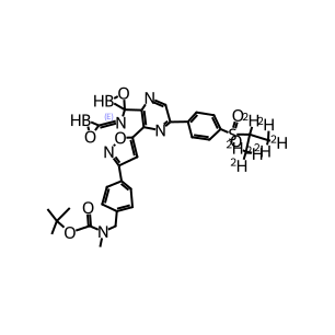 [2H]C([2H])([2H])C([2H])(C([2H])([2H])[2H])S(=O)(=O)c1ccc(-c2cnc(C3(/N=C4\BO4)BO3)c(-c3cc(-c4ccc(CN(C)C(=O)OC(C)(C)C)cc4)no3)n2)cc1